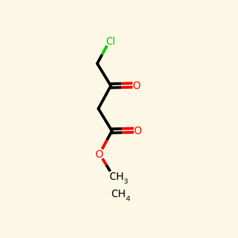 C.COC(=O)CC(=O)CCl